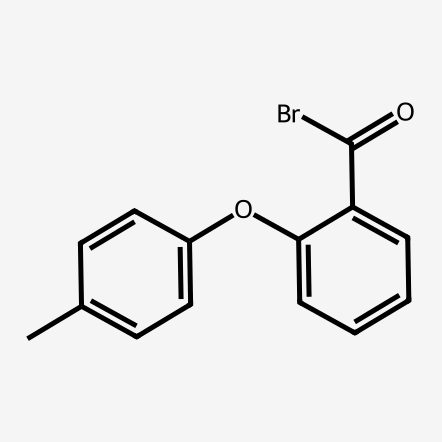 Cc1ccc(Oc2ccccc2C(=O)Br)cc1